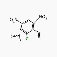 C=Cc1c(Cl)cc([N+](=O)[O-])cc1[N+](=O)[O-].CNC